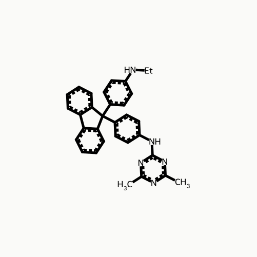 CCNc1ccc(C2(c3ccc(Nc4nc(C)nc(C)n4)cc3)c3ccccc3-c3ccccc32)cc1